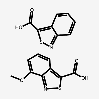 COc1cccc2c(C(=O)O)snc12.O=C(O)c1snc2ccccc12